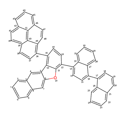 c1ccc2cc3c(cc2c1)oc1c(-c2ccc(-c4cccc5ccccc45)c4ccccc24)ccc(-c2ccc4ccc5cccc6ccc2c4c56)c13